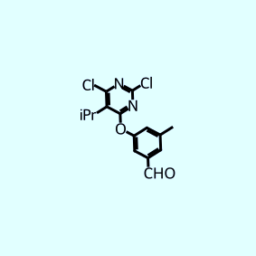 Cc1cc(C=O)cc(Oc2nc(Cl)nc(Cl)c2C(C)C)c1